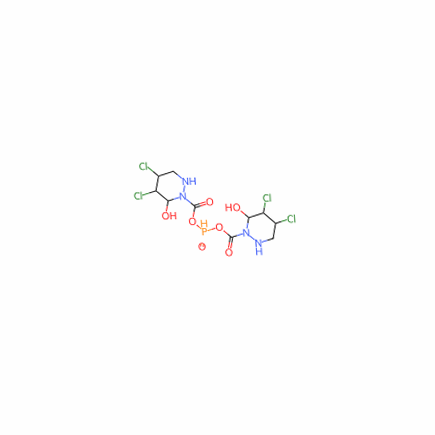 O=C(O[PH](=O)OC(=O)N1NCC(Cl)C(Cl)C1O)N1NCC(Cl)C(Cl)C1O